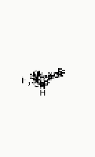 CC(=O)NC(C)C(O)Nc1c[nH]c2ccc(-c3cnn(-c4ccc(C(F)(F)F)cc4)c3)cc12